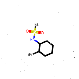 CCS(=O)(=O)NC1CCCCC1C(C)C